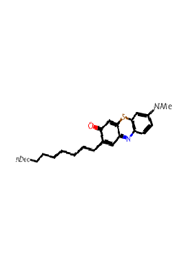 CCCCCCCCCCCCCCCCCc1cc2nc3ccc(NC)cc3sc-2cc1=O